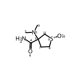 CN(C)C1(C(N)=O)CC[S+]([O-])C1